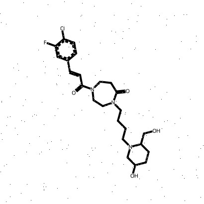 O=C(/C=C/c1ccc(Cl)c(F)c1)N1CCC(=O)N(CCCCN2CC(O)CCC2CO)CC1